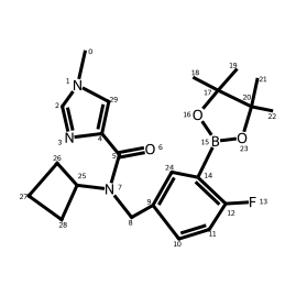 Cn1cnc(C(=O)N(Cc2ccc(F)c(B3OC(C)(C)C(C)(C)O3)c2)C2CCC2)c1